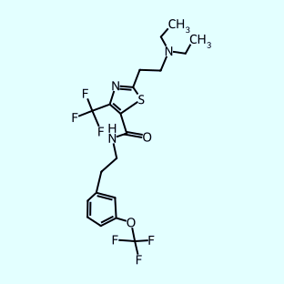 CCN(CC)CCc1nc(C(F)(F)F)c(C(=O)NCCc2cccc(OC(F)(F)F)c2)s1